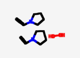 C=CN1CCCC1.C=CN1CCCC1.OO